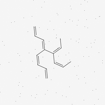 C=C\C=C/C(=C\C=C)C(/C=C\C)=C\C